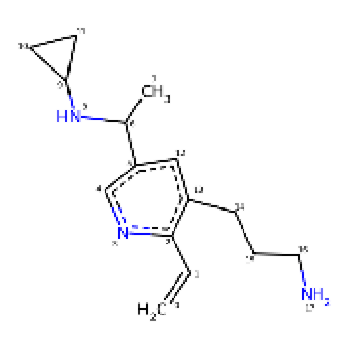 C=Cc1ncc(C(C)NC2CC2)cc1CCCN